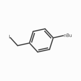 CCCCc1ccc(CI)cc1